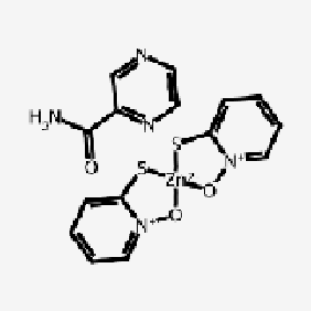 NC(=O)c1cnccn1.c1cc[n+]2c(c1)[S][Zn-2]1([O]2)[O][n+]2ccccc2[S]1